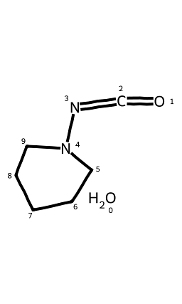 O.O=C=NN1CCCCC1